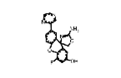 NC1=NC2(CO1)c1cc(-c3cnccn3)ccc1Oc1c(F)cc(O)cc12